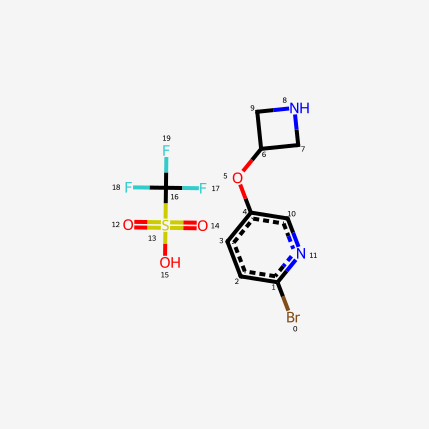 Brc1ccc(OC2CNC2)cn1.O=S(=O)(O)C(F)(F)F